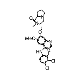 COc1cc2c(Nc3ccc(Cl)c(Cl)c3F)ncnc2cc1OC[C@H]1CN2CCCC2C(=O)N1C